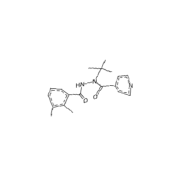 Cc1cccc(C(=O)NN(C(=O)c2ccncc2)C(C)(C)C)c1C